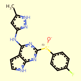 Cc1cc(Nc2nc([S@+]([O-])c3ccc(F)cc3)nc3[nH]ccc23)n[nH]1